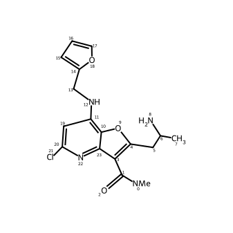 CNC(=O)c1c(CC(C)N)oc2c(NCc3ccco3)cc(Cl)nc12